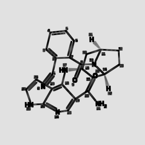 N#Cc1ccccc1C(=O)N1[C@@H]2CC[C@H]1C[C@H](Nc1c(C(N)=O)cnc3[nH]ccc13)C2